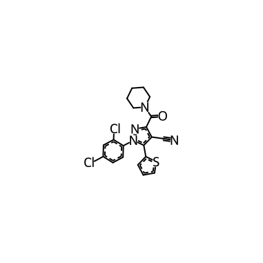 N#Cc1c(C(=O)N2CCCCC2)nn(-c2ccc(Cl)cc2Cl)c1-c1cccs1